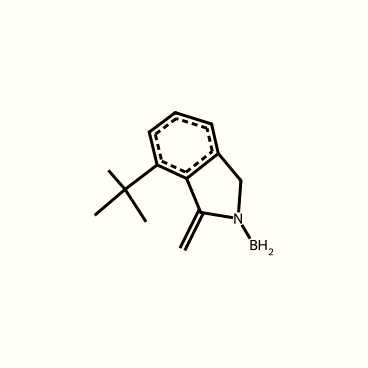 BN1Cc2cccc(C(C)(C)C)c2C1=C